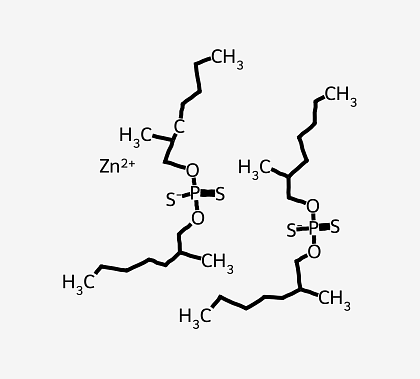 CCCCCC(C)COP(=S)([S-])OCC(C)CCCCC.CCCCCC(C)COP(=S)([S-])OCC(C)CCCCC.[Zn+2]